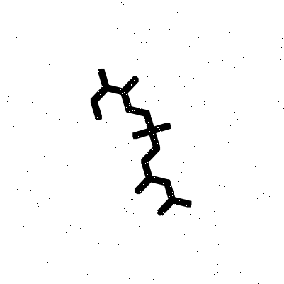 CCC(C)C(C)CCC(C)(C)CCC(C)CC(C)C